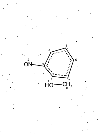 CO.O=Nc1ccccc1